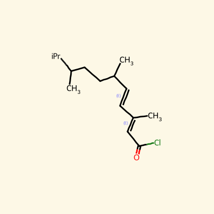 CC(/C=C/C(C)CCC(C)C(C)C)=C\C(=O)Cl